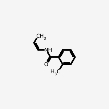 C/C=C\NC(=O)c1ccccc1C